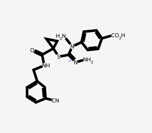 N#Cc1cccc(CNC(=O)C2(S/C(=N/N)N(N)c3ccc(C(=O)O)cc3)CC2)c1